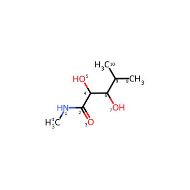 CNC(=O)C(O)C(O)C(C)C